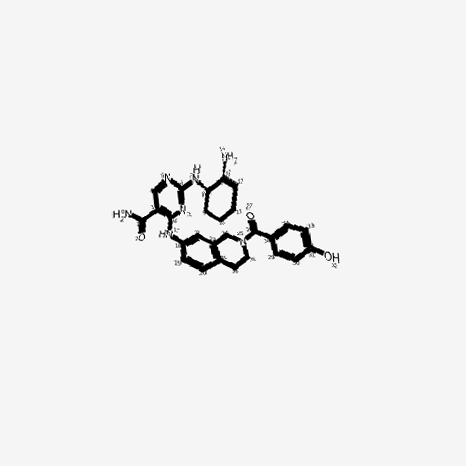 NC(=O)c1cnc(N[C@@H]2CCCC[C@@H]2N)nc1Nc1ccc2c(c1)CN(C(=O)c1ccc(O)cc1)CC2